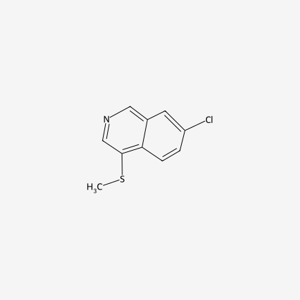 CSc1cncc2cc(Cl)ccc12